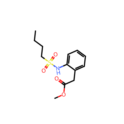 CCCCS(=O)(=O)Nc1ccccc1CC(=O)OC